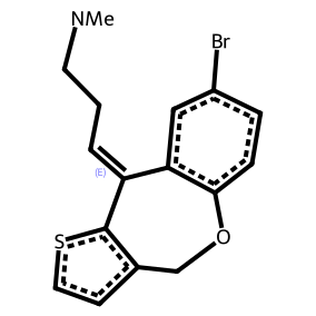 CNCC/C=C1\c2cc(Br)ccc2OCc2ccsc21